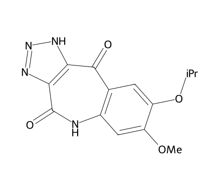 COc1cc2[nH]c(=O)c3nn[nH]c3c(=O)c2cc1OC(C)C